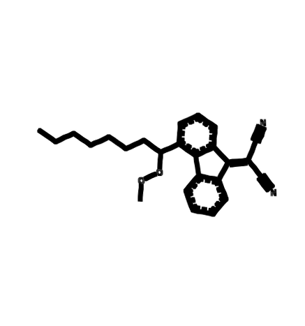 CCCCCCCC(OOC)c1cccc2c1-c1ccccc1C2=C(C#N)C#N